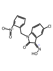 O=C1/C(=N\O)c2cc(Cl)ccc2N1Cc1ccccc1[N+](=O)[O-]